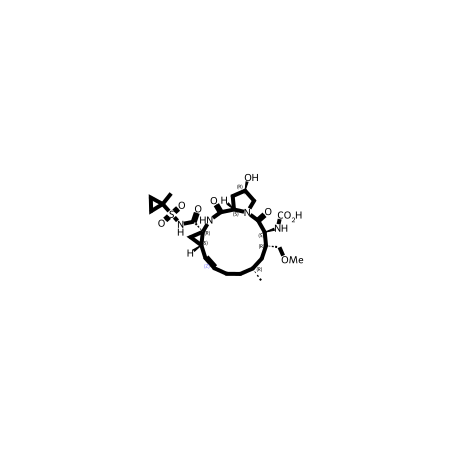 COC[C@@H]1C[C@H](C)CC/C=C\[C@@H]2C[C@@]2(C(=O)NS(=O)(=O)C2(C)CC2)NC(=O)[C@@H]2C[C@@H](O)CN2C(=O)[C@H]1NC(=O)O